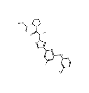 COC(=O)[C@@H]1CCCN1C(=O)[C@H](C)n1cc(-c2cc(C)cc(Nc3cc(C(F)(F)F)ccn3)n2)nn1